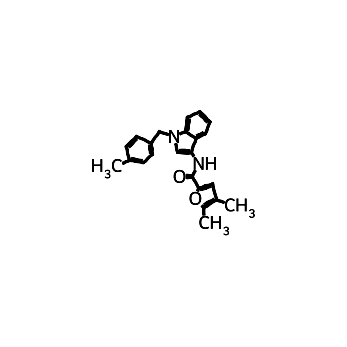 Cc1ccc(Cn2cc(NC(=O)c3cc(C)c(C)o3)c3ccccc32)cc1